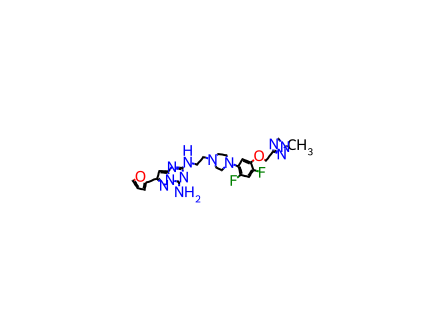 Cn1cnc(COc2cc(N3CCN(CCNc4nc(N)n5nc(-c6ccco6)cc5n4)CC3)c(F)cc2F)n1